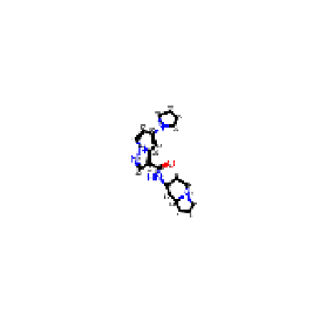 O=C(NC1CCN2CCCC2C1)c1cnn2ccc(N3CCCC3)cc12